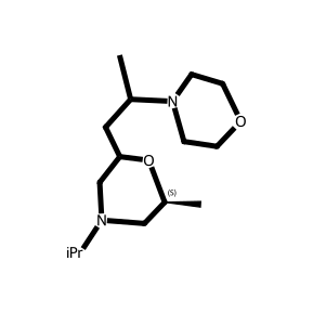 CC(C)N1CC(CC(C)N2CCOCC2)O[C@@H](C)C1